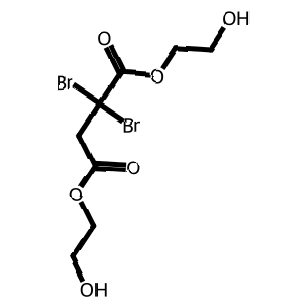 O=C(CC(Br)(Br)C(=O)OCCO)OCCO